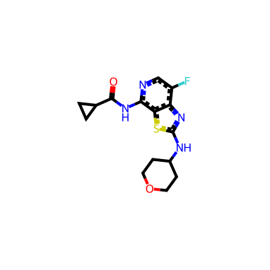 O=C(Nc1ncc(F)c2nc(NC3CCOCC3)sc12)C1CC1